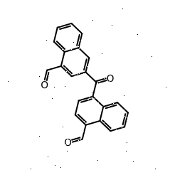 O=Cc1cc(C(=O)c2ccc(C=O)c3ccccc23)cc2ccccc12